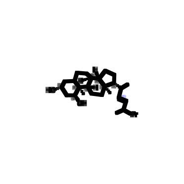 CC(C)C(C)/C=C/C(C)[C@H]1CC[C@H]2[C@@H]3CCC4C[C@@H](O)C[C@H](O)[C@]4(C)[C@H]3CC[C@]12C